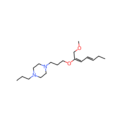 CC/C=C/C=C(\COC)OCCCN1CCN(CCC)CC1